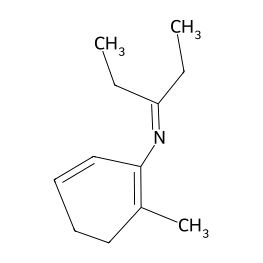 CCC(CC)=NC1=C(C)CCC=C1